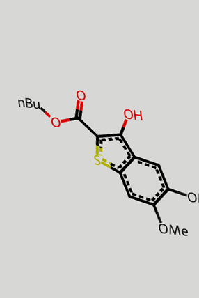 CCCCOC(=O)c1sc2cc(OC)c(OC)cc2c1O